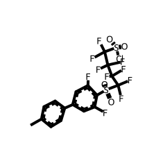 Cc1ccc(-c2cc(F)c(S(=O)(=O)C(F)(F)C(F)(F)C(F)(F)C(F)(F)S(=O)(=O)Cl)c(F)c2)cc1